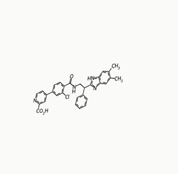 Cc1cc2nc(C(CNC(=O)c3ccc(-c4ccnc(C(=O)O)c4)cc3Cl)c3ccccc3)[nH]c2cc1C